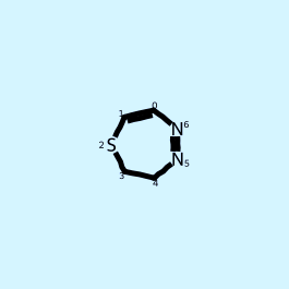 C1=CSCCN=N1